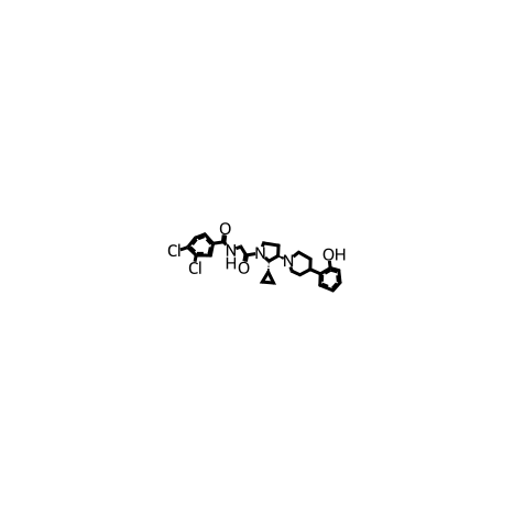 O=C(NCC(=O)N1CC[C@@H](N2CCC(c3ccccc3O)CC2)[C@@H]1C1CC1)c1ccc(Cl)c(Cl)c1